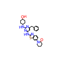 O=C1CCCCN1c1ccc2nc(Nc3cc(Cc4ccccc4)nc(NC4CCC(O)CC4)n3)sc2c1